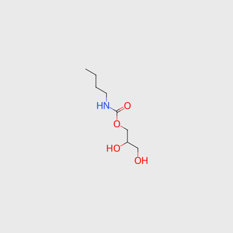 CCCCNC(=O)OCC(O)CO